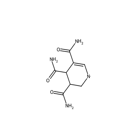 NC(=O)C1=C[N]CC(C(N)=O)C1C(N)=O